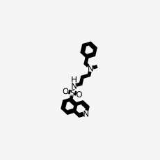 CN(CCCNS(=O)(=O)c1cccc2cnccc12)Cc1ccccc1